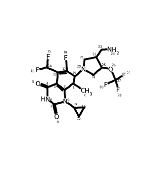 CC1c2c(c(=O)[nH]c(=O)n2C2CC2)C(C(F)F)=C(F)C1N1CC(CN)C(OC(F)(F)F)C1